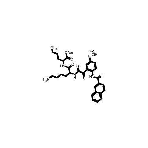 COC(=O)C(CCCN)NC(=O)C(CCCCN)NC(=O)C(=O)c1cc(Br)ccc1NC(=O)c1ccc2ccccc2c1.Cl.Cl